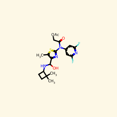 CC(=O)OCC(=O)N(c1cc(F)nc(F)c1)c1nc(C(O)NC2CCC2(C)C)c(C)s1